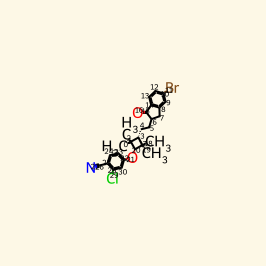 CC1(C)[C@H](CCC2Cc3cc(Br)ccc3C2=O)C(C)(C)[C@H]1Oc1ccc(C#N)c(Cl)c1